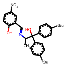 CC(N=Cc1cc([N+](=O)[O-])ccc1O)C(O)(c1ccc(C(C)(C)C)cc1)c1ccc(C(C)(C)C)cc1